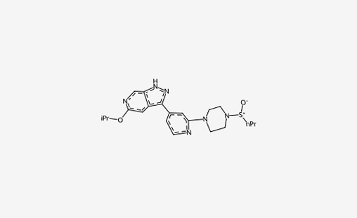 CCC[S+]([O-])N1CCN(c2cc(-c3n[nH]c4cnc(OC(C)C)cc34)ccn2)CC1